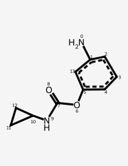 Nc1cccc(OC(=O)NC2CC2)c1